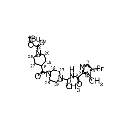 CC(NC(=O)c1ncc(Br)n1C)N1CCN(C(=O)C2CCN(C(=O)OC(C)(C)C)CC2)CC1